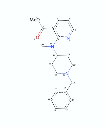 COC(=O)c1cccnc1N(C)C1CCN(Cc2ccccc2)CC1